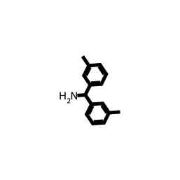 Cc1cccc(C(N)c2cccc(C)c2)c1